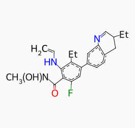 C=CNc1c(CC)c(-c2ccc3c(c2)N=CC(CC)C3)cc(F)c1C(=O)N(C)O